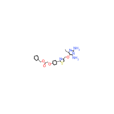 CCc1nc(N)nc(N)c1OCc1csc(-c2ccc(OCC(=O)OCc3ccccc3)cc2)n1